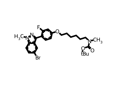 CN(CCCCCCOc1ccc(-c2nn(C)c3ccc(Br)cc23)c(F)c1)C(=O)OC(C)(C)C